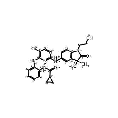 CC1(C)C(=O)N(CCO)c2ccc(Nc3ncc(Cl)c(Nc4ccccc4NC(=O)C4CC4)n3)cc21